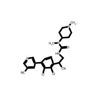 CN1CCC(N(C)C(=O)NCC(C#N)c2ccc(-c3cncc(C#N)c3)c(Cl)c2Cl)CC1